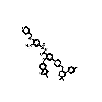 Cc1ccc(C2=C(CN3CCN(c4ccc(C(=O)NS(=O)(=O)c5ccc(NCC6CCOCC6)c(N)c5)c(Oc5cnc6[nH]c(C)cc6c5)c4)CC3)CCC(C)(C)C2)cc1